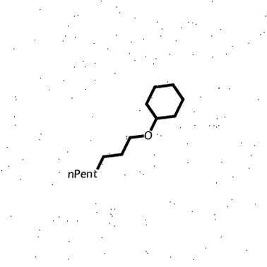 CCCCCCC[C]OC1CCCCC1